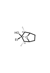 CC[C@@]1(O)[C@H](C)C2CCC(O2)[C@@H]1C